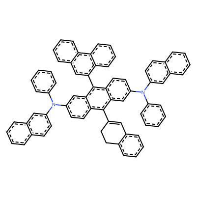 C1=C(c2c3cc(N(c4ccccc4)c4ccc5ccccc5c4)ccc3c(-c3cc4ccccc4c4ccccc34)c3cc(N(c4ccccc4)c4ccc5ccccc5c4)ccc23)CCc2ccccc21